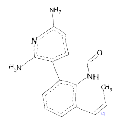 C/C=C\c1cccc(-c2ccc(N)nc2N)c1NC=O